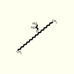 CCCCCCCCCCCCCCCC(CCCCCCCCCC)OCC(O)CO